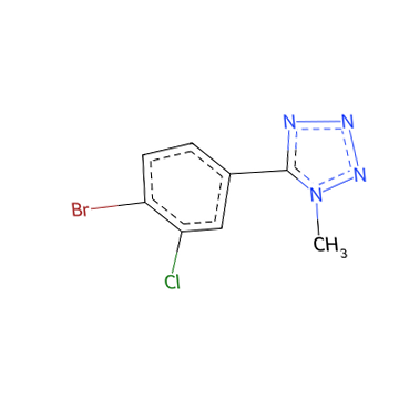 Cn1nnnc1-c1ccc(Br)c(Cl)c1